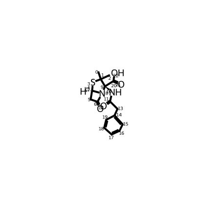 CC1(C)S[C@@H]2CC(=O)N2[C@@]1(NC(=O)Cc1ccccc1)C(=O)O